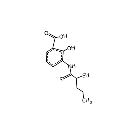 CCCC(S)C(=S)Nc1cccc(C(=O)O)c1O